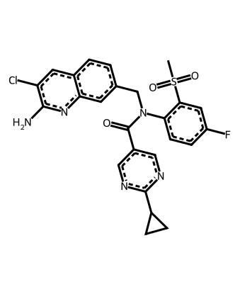 CS(=O)(=O)c1cc(F)ccc1N(Cc1ccc2cc(Cl)c(N)nc2c1)C(=O)c1cnc(C2CC2)nc1